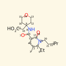 CCc1c(C)cc(C(=O)NC2(CC(=O)O)CCOCC2)c(=O)n1CCC(C)C